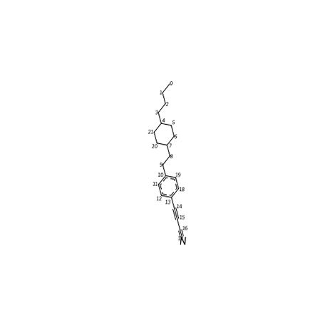 CCCCC1CCC(CCc2ccc(C#CC#N)cc2)CC1